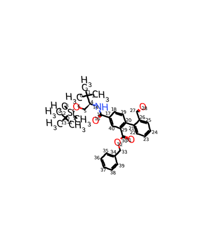 CC(C)(C)[C@H](CO[Si](C)(C)C(C)(C)C)NC(=O)c1ccc(-c2ccccc2C=O)c(C(=O)OCc2ccccc2)c1